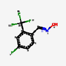 O/N=C/c1ccc(F)cc1C(F)(F)F